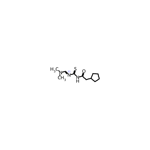 CN(C)/C=N/C(=S)NC(=O)CC1CCCC1